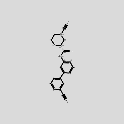 N#Cc1cccc(-c2ccnc(NC(=O)[C@H]3CN(C#N)CCO3)c2)c1